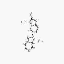 Cc1c(-c2ccc3oc(=O)n(C)c3c2)nc2ccccn12